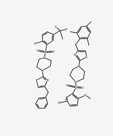 COc1ccc(Cl)cc1S(=O)(=O)N1CCN(c2nc(Cc3c(C)cc(C)cc3C)cs2)CC1.O=S(=O)(c1cc(C(F)(F)F)ccc1Cl)N1CCN(c2nc(Cc3ccccc3)cs2)CC1